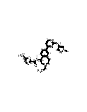 Cn1cc(Nc2nccc(-c3ccc4c(c3)CCN(CC(F)(F)F)C[C@H]4NC(=O)c3nnc(C(C)(C)C)o3)n2)cn1